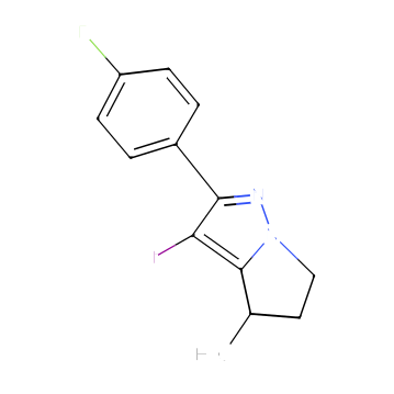 CC1CCn2nc(-c3ccc(F)cc3)c(I)c21